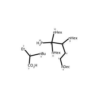 CCCCC(CC)C(=O)O.CCCCCCCCCCCCC(CCCCCC)C(P)(CCCCCC)CCCCCC